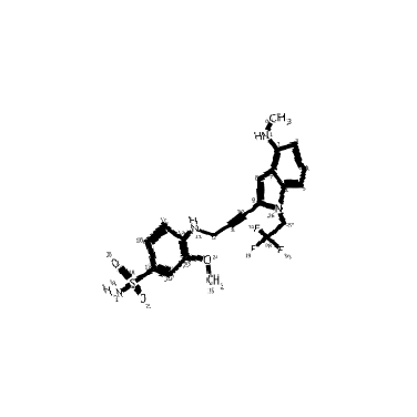 CNc1cccc2c1cc(C#CCNc1ccc(S(N)(=O)=O)cc1OC)n2CC(F)(F)F